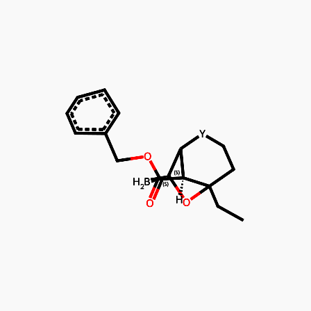 B[C@@H]1OC2(CC)C[CH2][Y][CH]1[C@@H]2C(=O)OCc1ccccc1